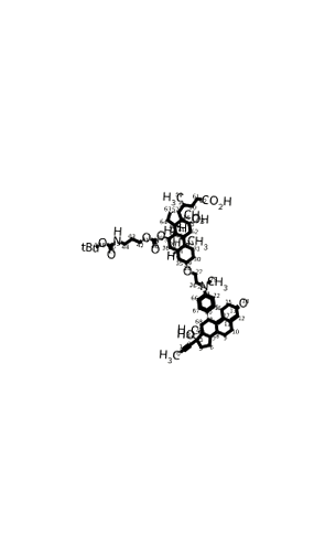 CC#C[C@]1(O)CCC2C3CCC4=CC(=O)CCC4=C3[C@@H](c3ccc(N(C)CCO[C@H]4CC[C@@]5(C)[C@@H](C4)C[C@@H](OC(=O)OCCCNC(=O)OC(C)(C)C)[C@@H]4[C@@H]5C[C@H](O)[C@]5(C)[C@@H]([C@H](C)CCC(=O)O)CC[C@@H]45)cc3)C[C@@]21C